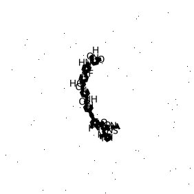 O=C1CCC(Nc2ccc(N3CCC(O)(CC(=O)N4CCC(NC(=O)c5ccc(C#Cc6cc(F)c7c(c6)C(=O)N(C(C(=O)Nc6nccs6)c6ncn8c6CCC8)C7)cn5)CC4)CC3)c(F)c2)C(=O)N1